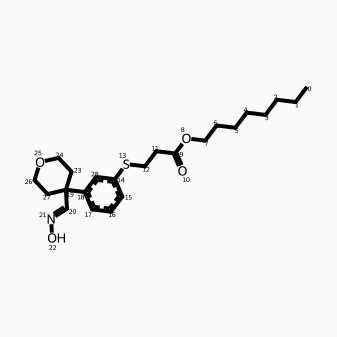 CCCCCCCCOC(=O)CCSc1cccc(C2(C=NO)CCOCC2)c1